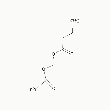 CCCC(=O)OCOC(=O)CC[C]=O